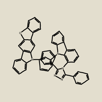 c1ccc(-c2nnc(-c3ccccc3)n2-c2cccc3c4ccccc4n(-c4cccc(-n5c6ccccc6c6cc7oc8ccccc8c7cc65)c4)c23)cc1